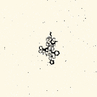 C=CCNC(=O)C(=O)C(CCC)NC(=O)[C@@H]1C2[C@H](CN1C(=O)C(NC(=O)O[C@H]1CCC[C@@H]1C)C1CCCCC1)C2(Cl)Cl